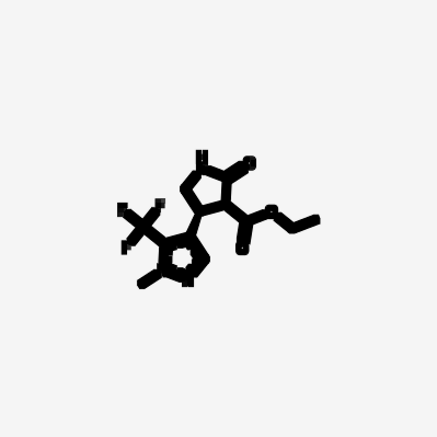 CCOC(=O)C1C(=O)NC[C@@H]1c1cnn(C)c1C(F)(F)F